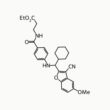 CCOC(=O)CCNC(=O)c1ccc(NC(c2oc3ccc(OC)cc3c2C#N)C2CCCCC2)cc1